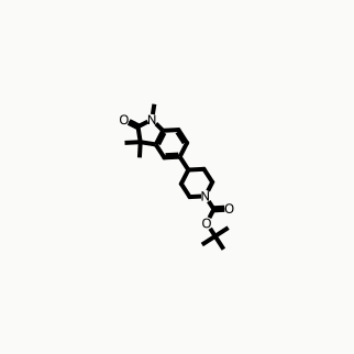 CN1C(=O)C(C)(C)c2cc(C3CCN(C(=O)OC(C)(C)C)CC3)ccc21